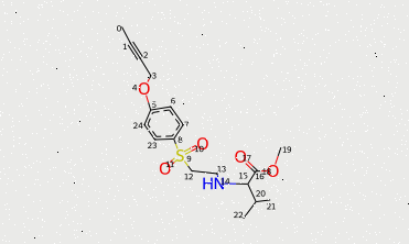 CC#CCOc1ccc(S(=O)(=O)CCNC(C(=O)OC)C(C)C)cc1